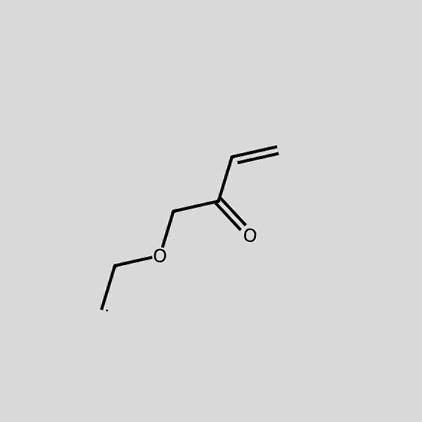 [CH2]COCC(=O)C=C